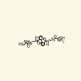 N[C@@H](CS)C(=O)SSCCNC(=O)c1cccnc1-c1ncccc1C(=O)NCCSSC(=O)[C@@H](N)CS